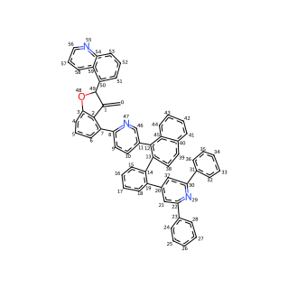 C=C1c2c(cccc2-c2ccc(-c3c(-c4ccccc4-c4cc(-c5ccccc5)nc(-c5ccccc5)c4)ccc4ccccc34)cn2)OC1c1cccc2ncccc12